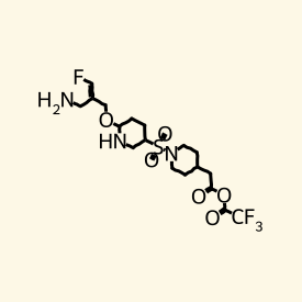 NC/C(=C\F)COC1CCC(S(=O)(=O)N2CCC(CC(=O)OC(=O)C(F)(F)F)CC2)CN1